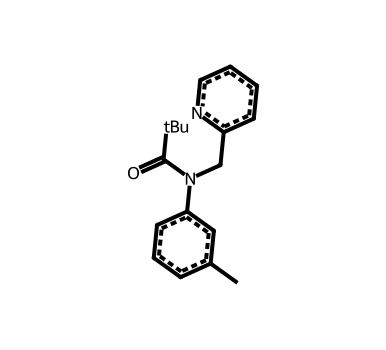 Cc1cccc(N(Cc2ccccn2)C(=O)C(C)(C)C)c1